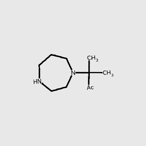 CC(=O)C(C)(C)N1CCCNCC1